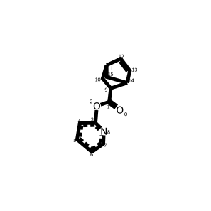 O=C(Oc1ccccn1)C1CC2C=CC1C2